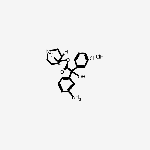 Cl.Cl.Nc1cccc(C(O)(C(=O)O[C@H]2CN3CCC2CC3)c2ccccc2)c1